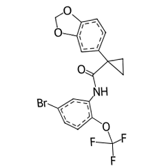 O=C(Nc1cc(Br)ccc1OC(F)(F)F)C1(c2ccc3c(c2)OCO3)CC1